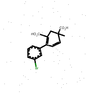 CC1(C(=O)O)C=CC(c2cccc(Br)c2)=C(C(=O)O)C1